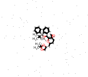 CC1(C)OC[C@@H](CC2CCC3(CO3)C(CO[Si](c3ccccc3)(c3ccccc3)C(C)(C)C)O2)O1